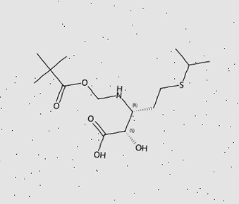 CC(C)SCC[C@@H](NCOC(=O)C(C)(C)C)[C@H](O)C(=O)O